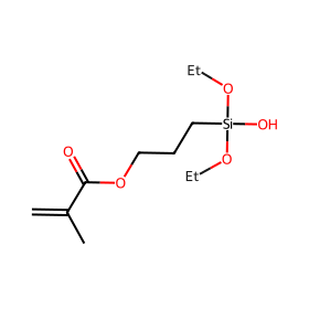 C=C(C)C(=O)OCCC[Si](O)(OCC)OCC